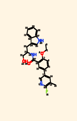 CCOc1ccc(-c2cnc(F)c(C)c2)cc1C(=O)NC(CO)Cc1c[nH]c2ccccc12